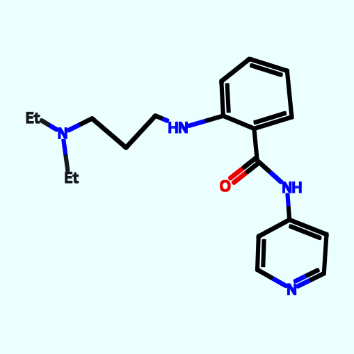 CCN(CC)CCCNc1ccccc1C(=O)Nc1ccncc1